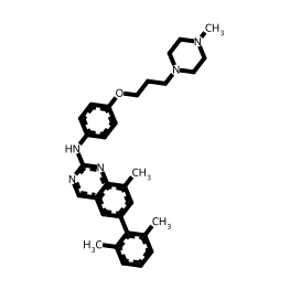 Cc1cccc(C)c1-c1cc(C)c2nc(Nc3ccc(OCCCN4CCN(C)CC4)cc3)ncc2c1